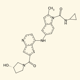 Cc1cc2cc(Nc3ccnc4cc(C(=O)N5CC[C@H](O)C5)sc34)ccc2n1C(=O)NC1CC1